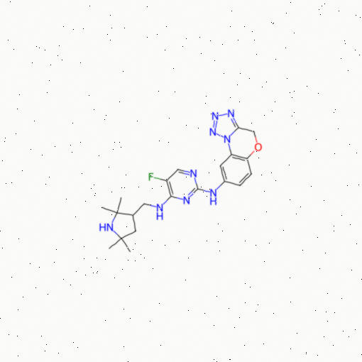 CC1(C)CC(CNc2nc(Nc3ccc4c(c3)-n3nnnc3CO4)ncc2F)C(C)(C)N1